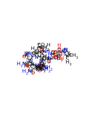 C/C1=C2N=C(/C=C3N=C(/C(C)=C4/[C@@H](CCC(N)=O)[C@](C)(CC(N)=O)[C@](C)([C@@H]5N=C1[C@](C)(CCC(=O)NCC(C)OP(=O)([O-])O[C@H]1[C@@H](O)[C@@H](n6cnc7cc(C)c(C)cc76)O[C@@H]1CO)[C@H]5CC(N)=O)[N]4[Co+][C]#N)[C@@](C)(CC(N)=O)[C@@H]\3CCC(N)=O)C(C)(C)[C@@H]/2CCC(N)=O.C=C(C)C(=O)O